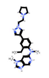 CCc1cc(-c2cnn(CCN3CCCC3)c2)ccc1N(C)c1cc2c(cn1)ncn2C